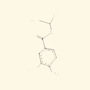 CCCC(CCC)NC(=O)c1ccc(SC)c(C)c1